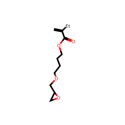 C=C(CC)C(=O)OCCCCOCC1CO1